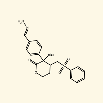 CCCCC1(c2ccc(C=NN)cc2)C(=O)OCCC1CS(=O)(=O)c1ccccc1